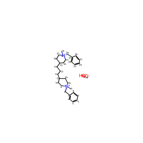 C[N+]1(Cc2ccccc2)CCC(CCCC2CC[N+](C)(Cc3ccccc3)CC2)CC1.[OH-].[OH-]